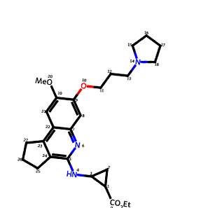 CCOC(=O)C1CC1Nc1nc2cc(OCCCN3CCCC3)c(OC)cc2c2c1CCC2